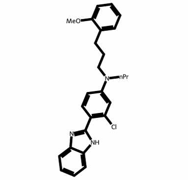 CCCN(CCCc1ccccc1OC)c1ccc(-c2nc3ccccc3[nH]2)c(Cl)c1